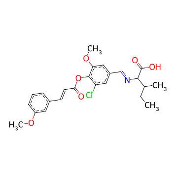 CCC(C)C(/N=C/c1cc(Cl)c(OC(=O)/C=C/c2cccc(OC)c2)c(OC)c1)C(=O)O